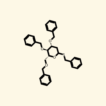 c1ccc(COC[C@H]2OC(SCc3ccccc3)C[C@@H](OCc3ccccc3)[C@@H]2OCc2ccccc2)cc1